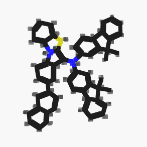 CC1(C)c2ccccc2-c2ccc(N(c3ccc4c(c3)C(C)(C)c3ccccc3-4)c3c4cc(-c5ccc6ccccc6c5)ccc4n4c3sc3ccccc34)cc21